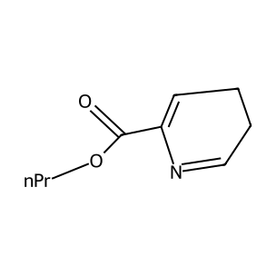 CCCOC(=O)C1=CCCC=N1